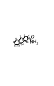 NC(=O)c1ccc2cc3ccc[c]c3cc2c1